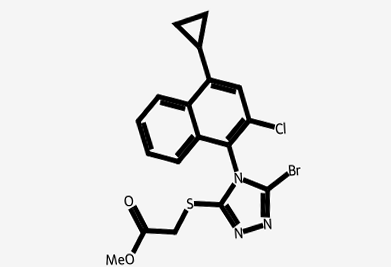 COC(=O)CSc1nnc(Br)n1-c1c(Cl)cc(C2CC2)c2ccccc12